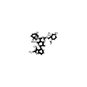 CCN1CC[C@H](CF)[C@](C)(COc2nc(N3C[C@H]4CC[C@@H](C3)N4)c3c(OC)nc(-c4cccc5sc(N)c(C#N)c45)c(F)c3n2)C1